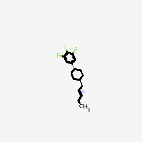 CC/C=C/C[C@H]1CC[C@H](c2cc(F)c(F)c(F)c2)CC1